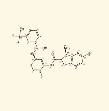 CC1=CC[C@@H](N[C@@H](O)c2cccc(C(C)(C)C#N)c2)C=C1NC(=O)C1Sc2ncc(Br)nc2[C@@H]1N